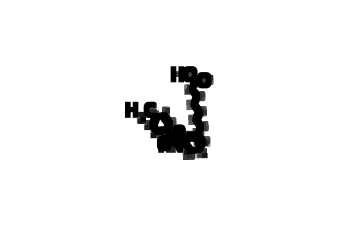 Cc1ccc(S(=O)(=O)NC2CC3CCC2C(C/C=C/CCCC(=O)O)C3)cc1